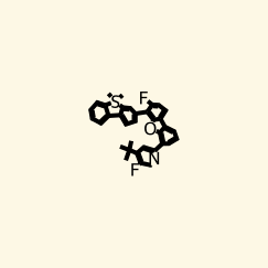 CC(C)(C)c1cc(-c2cccc3c2oc2c(-c4ccc5c(c4)S(C)(C)c4ccccc4-5)c(F)ccc23)ncc1F